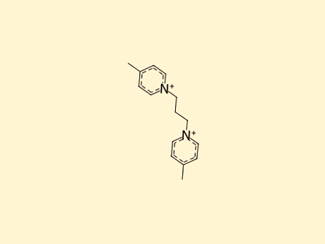 Cc1cc[n+](CCC[n+]2ccc(C)cc2)cc1